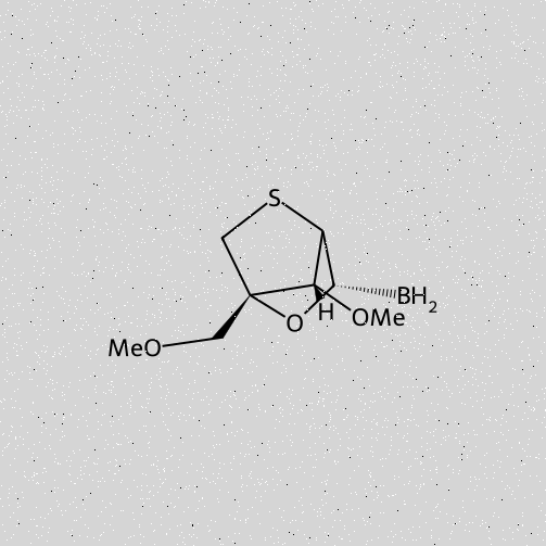 B[C@@H]1O[C@]2(COC)CSC1[C@@H]2OC